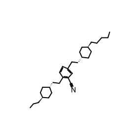 CCCCC[C@H]1CC[C@H](CCc2ccc(CC[C@H]3CC[C@H](CCC)CC3)c(C#N)c2)CC1